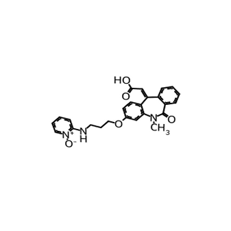 CN1C(=O)c2ccccc2/C(=C/C(=O)O)c2ccc(OCCCNc3cccc[n+]3[O-])cc21